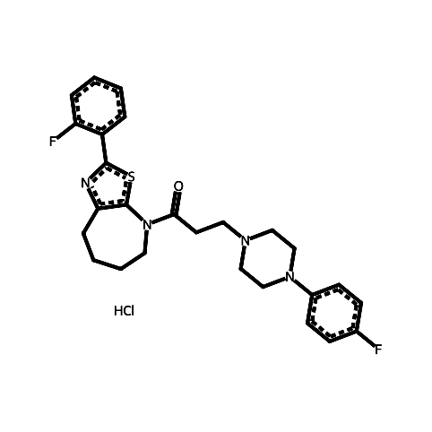 Cl.O=C(CCN1CCN(c2ccc(F)cc2)CC1)N1CCCCc2nc(-c3ccccc3F)sc21